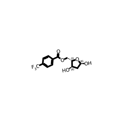 O=C(OC[C@@H]1O[C@@H](O)C[C@H]1O)c1ccc(C(F)(F)F)cc1